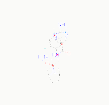 Nc1ncc(C(=O)NCC(=O)N2C3CCC2CC([C@H](N)Cc2cc(F)c(F)cc2F)C3)cn1